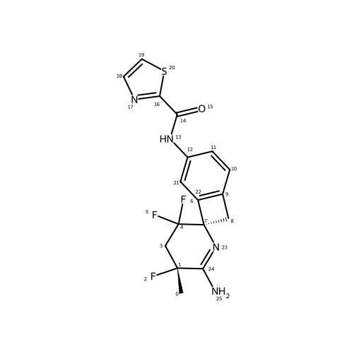 C[C@@]1(F)CC(F)(F)[C@]2(Cc3ccc(NC(=O)c4nccs4)cc32)N=C1N